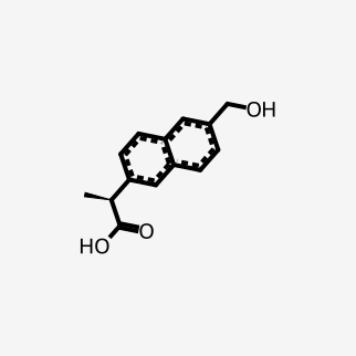 C[C@H](C(=O)O)c1ccc2cc(CO)ccc2c1